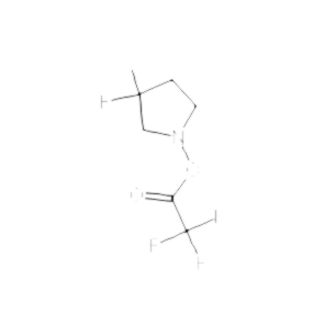 O=C(ON1CCC(F)(F)C1)C(F)(F)F